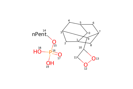 C1C2CC3CC1CC(C2)C3C1COO1.CCCCCOP(=O)(O)O